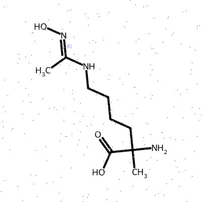 C/C(=N\O)NCCCCC(C)(N)C(=O)O